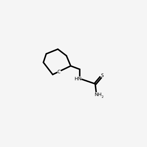 NC(=S)NCC1CCCCCC1